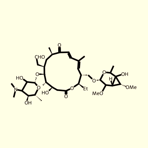 CC[C@H]1OC(=O)C[C@@H](O)[C@H](C)[C@@H](O[C@@H]2O[C@H](C)[C@@H](O)C(N(C)C)C2O)[C@@H](CC=O)C[C@@H](C)C(=O)/C=C/C(C)=C/[C@@H]1CO[C@@H]1OC(C)C2(O)[C@H](OC)[C@@H]2C1OC